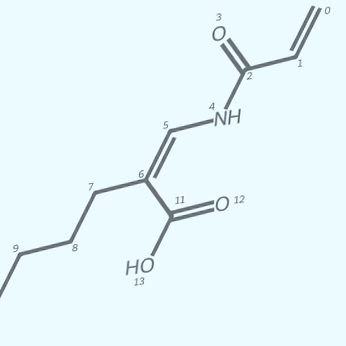 C=CC(=O)NC=C(CCCC)C(=O)O